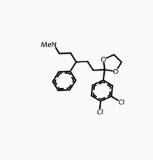 CNCCC(CCC1(c2ccc(Cl)c(Cl)c2)OCCO1)c1ccccc1